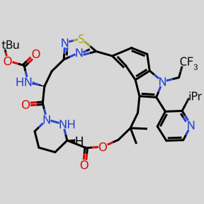 CC(C)c1ncccc1-c1c2c3cc(ccc3n1CC(F)(F)F)-c1nc(ns1)C[C@H](NC(=O)OC(C)(C)C)C(=O)N1CCC[C@H](N1)C(=O)OCC(C)(C)C2